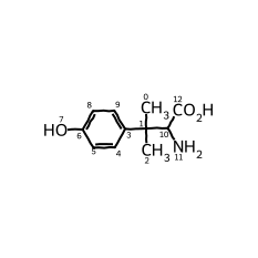 CC(C)(c1ccc(O)cc1)C(N)C(=O)O